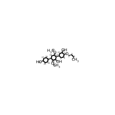 C/C=C\COc1ccc(-c2c(OC)cc(-c3ccc(O)cc3)c(OC)c2O)cc1O